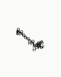 CC(C)(C)[C@H](c1nc(-c2cc(F)ccc2F)cn1Cc1ccccc1)N(CC1CNCC1CNC(=O)CCOCCOCCOCCOCCNC(=O)CCN1C(=O)C=CC1=O)C(=O)CO